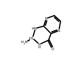 N[SH]1NC(=O)c2nccnc2N1